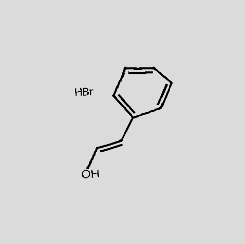 Br.OC=Cc1ccccc1